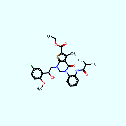 CCOC(=O)c1sc2c(c1C)C(=O)N(c1ccccc1NC(=O)C(C)C)CN2CC(O)c1cc(F)ccc1OC